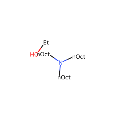 CCCCCCCCN(CCCCCCCC)CCCCCCCC.CCO